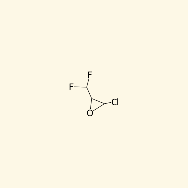 FC(F)C1OC1Cl